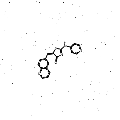 O=C1N=C(Nc2ccncc2)SC1=Cc1ccc2ncccc2c1